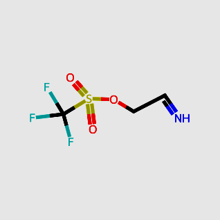 N=CCOS(=O)(=O)C(F)(F)F